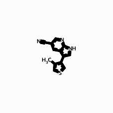 Cc1cscc1-c1c[nH]c2ncc(C#N)cc12